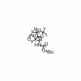 CC(C)(C)OC(=O)NCC12COC(C[C@H]3OC(C)(C)O[C@H]31)O2